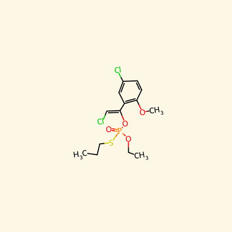 CCCSP(=O)(OCC)OC(=CCl)c1cc(Cl)ccc1OC